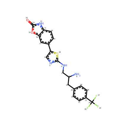 NC(CNc1ncc(-c2ccc3[nH]c(=O)oc3c2)s1)Cc1ccc(C(F)(F)F)cc1